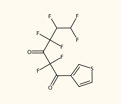 O=C(c1ccsc1)C(F)(F)C(=O)C(F)(F)C(F)C(F)F